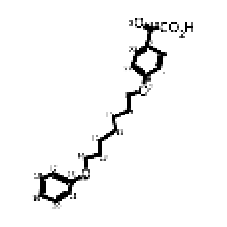 O=C(O)C(=O)c1ccc(OCCCCCCCOc2ccccc2)cc1